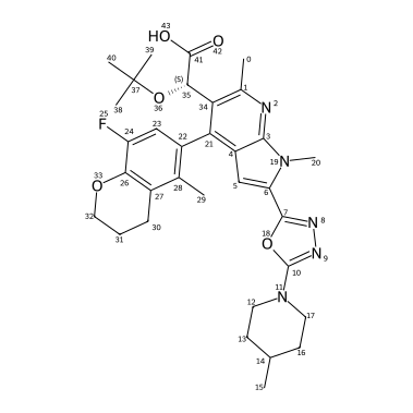 Cc1nc2c(cc(-c3nnc(N4CCC(C)CC4)o3)n2C)c(-c2cc(F)c3c(c2C)CCCO3)c1[C@H](OC(C)(C)C)C(=O)O